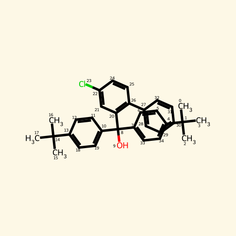 CC(C)(C)c1ccc(C(O)(c2ccc(C(C)(C)C)cc2)c2cc(Cl)ccc2-c2ccccc2)cc1